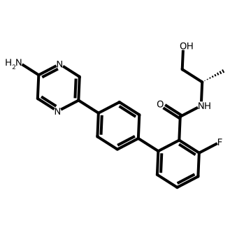 C[C@@H](CO)NC(=O)c1c(F)cccc1-c1ccc(-c2cnc(N)cn2)cc1